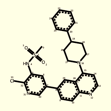 CS(=O)(=O)Nc1cc(-c2ccc3nccc(N4CCC(c5ccccc5)CC4)c3c2)cnc1Cl